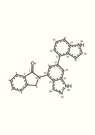 O=C1c2ccccc2CN1c1cc(-c2cccc3[nH]ccc23)cc2[nH]ncc12